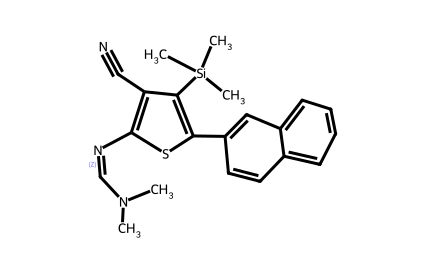 CN(C)/C=N\c1sc(-c2ccc3ccccc3c2)c([Si](C)(C)C)c1C#N